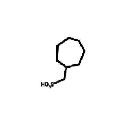 O=S(=O)(O)CC1CCCCCC1